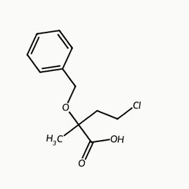 CC(CCCl)(OCc1ccccc1)C(=O)O